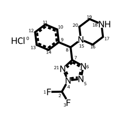 Cl.FC(F)n1nnc(C(c2ccccc2)N2CCNCC2)n1